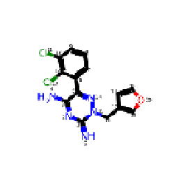 N=c1nc(N)c(-c2cccc(Cl)c2Cl)nn1Cc1ccoc1